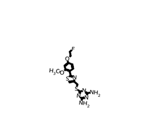 COc1cc(OCCF)ccc1-c1nc(CSc2nc(N)nc(N)n2)cs1